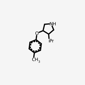 Cc1ccc(OC2CNCC2C(C)C)cc1